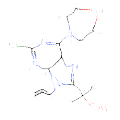 C=CN1C(C(C)(C)O)=NC2C(N3CCOCC3)=NC(Cl)=NC21